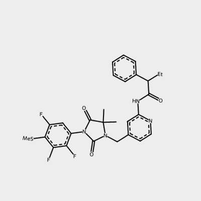 CCC(C(=O)Nc1cc(CN2C(=O)N(c3cc(F)c(SC)c(F)c3F)C(=O)C2(C)C)ccn1)c1ccccc1